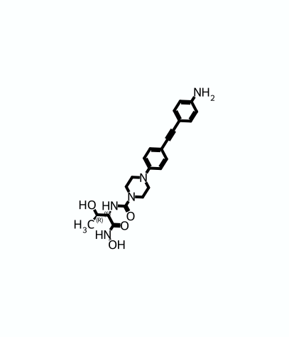 C[C@@H](O)[C@H](NC(=O)N1CCN(c2ccc(C#Cc3ccc(N)cc3)cc2)CC1)C(=O)NO